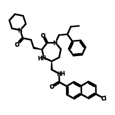 CCC(CN1CC[C@@H](CNC(=O)c2ccc3cc(Cl)ccc3c2)N[C@@H](CCC(=O)N2CCCCC2)C1=O)c1ccccc1